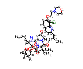 CC[C@@H]1C[C@]1(NC(=O)[C@@H]1C[C@@H](Oc2cc(C=C(C)C)nc3c(Cl)c(OCCN4CCOCC4)ccc23)CN1C(=O)[C@@H](NC(=O)O[C@@H]1C[C@@H]2C[C@@H]2C1)C(C)(C)C)C(=O)O